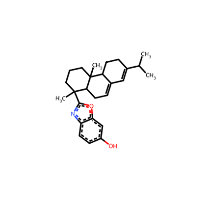 CC(C)C1=CC2=CCC3C(C)(c4nc5ccc(O)cc5o4)CCCC3(C)C2CC1